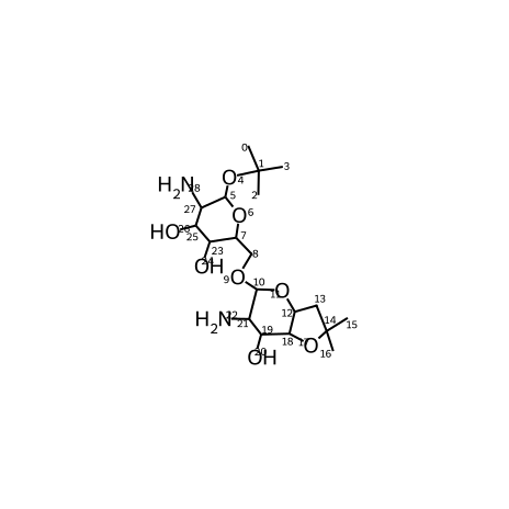 CC(C)(C)OC1OC(COC2OC3CC(C)(C)OC3C(O)C2N)C(O)C(O)C1N